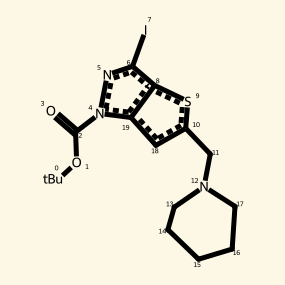 CC(C)(C)OC(=O)n1nc(I)c2sc(CN3CCCCC3)cc21